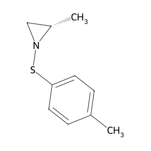 Cc1ccc(SN2C[C@@H]2C)cc1